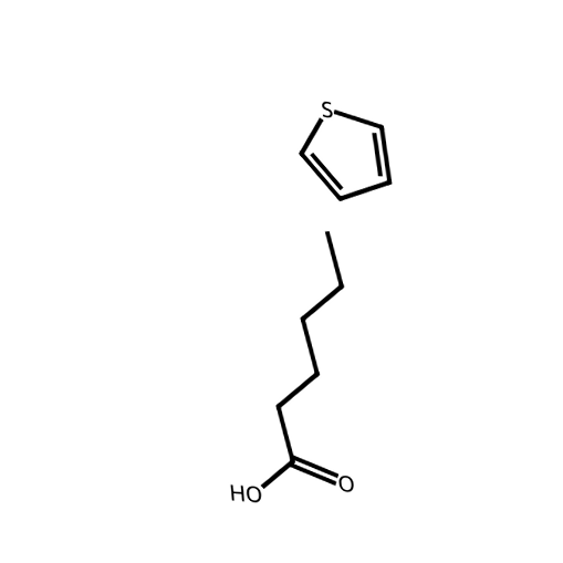 CCCCCC(=O)O.c1ccsc1